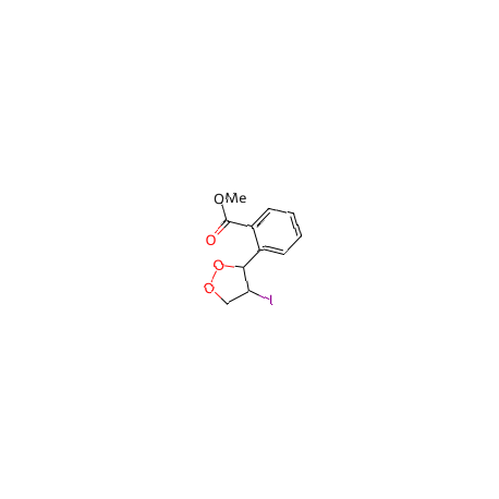 COC(=O)c1ccccc1C1OOCC1I